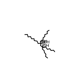 CCCCCCCCCC(CCCCCCCC)(CCCCCCCC)P(O)(O)(O)CCCCCCCC